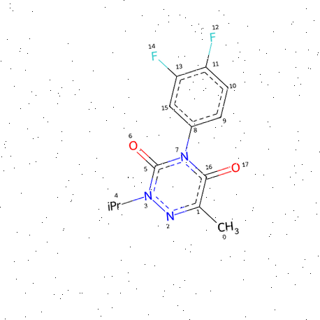 Cc1nn(C(C)C)c(=O)n(-c2ccc(F)c(F)c2)c1=O